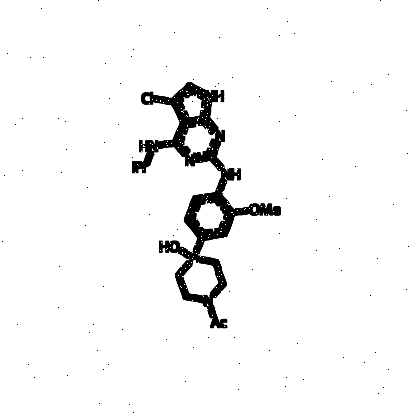 COc1cc([P]2(O)CCN(C(C)=O)CC2)ccc1Nc1nc(NC(C)C)c2c(Cl)c[nH]c2n1